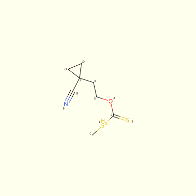 C[SH2]C(=S)OCCC1(C#N)CC1